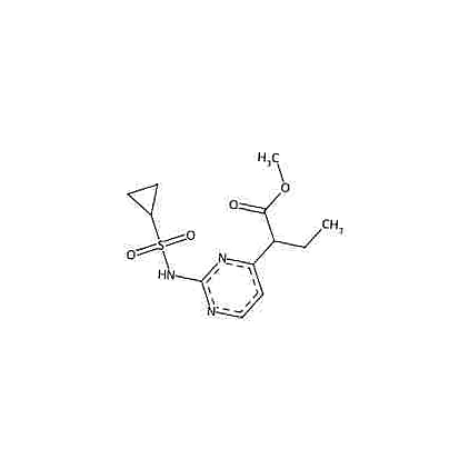 CCC(C(=O)OC)c1ccnc(NS(=O)(=O)C2CC2)n1